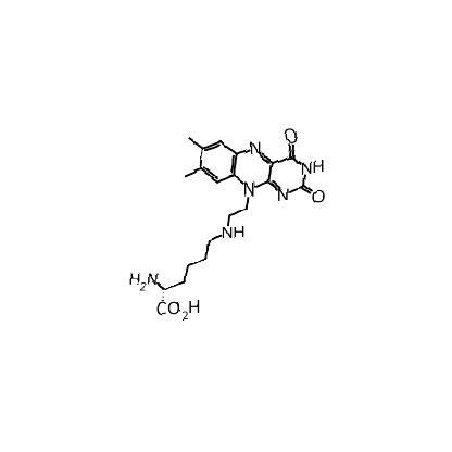 Cc1cc2nc3c(=O)[nH]c(=O)nc-3n(CCNCCCC[C@@H](N)C(=O)O)c2cc1C